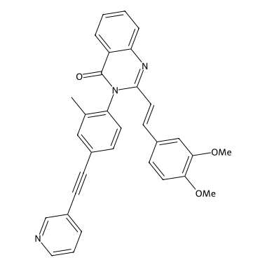 COc1ccc(C=Cc2nc3ccccc3c(=O)n2-c2ccc(C#Cc3cccnc3)cc2C)cc1OC